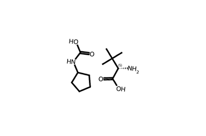 CC(C)(C)[C@H](N)C(=O)O.O=C(O)NC1CCCC1